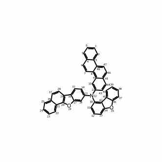 c1ccc2c(c1)ccc1c3cc(N(c4ccc5c(c4)oc4c6ccccc6ccc54)c4cccc5oc6ccccc6c45)ccc3ccc21